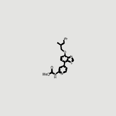 COC(=O)Nc1cc(-c2ccc(OCC(C)CC(C)C)c3ncsc23)ccn1